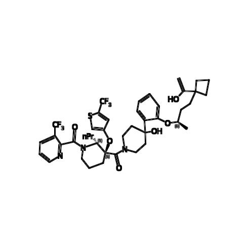 C=C(O)C1(CC[C@@H](C)Oc2ccccc2C2(O)CCN(C(=O)[C@]3(Oc4csc(C(F)(F)F)c4)CCCN(C(=O)c4ncccc4C(F)(F)F)[C@@H]3CCC)CC2)CCC1